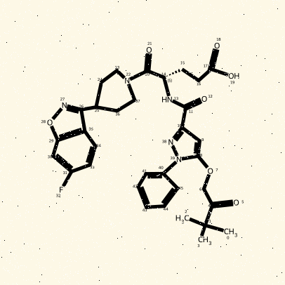 CC(C)(C)C(=O)COc1cc(C(=O)N[C@@H](CCC(=O)O)C(=O)N2CCC(c3noc4cc(F)ccc34)CC2)nn1-c1ccccc1